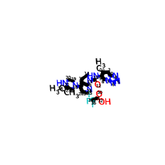 Cc1cc2nnnn2cc1NC(=O)N1CCc2c(N3CCNC(C)(C)C3)ccnc21.O=C(O)C(F)(F)F